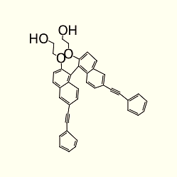 OCCOc1ccc2cc(C#Cc3ccccc3)ccc2c1-c1c(OCCO)ccc2cc(C#Cc3ccccc3)ccc12